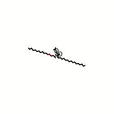 CCCCCCCCCCCCCCCCN(CCCCCCCCCCCCCCCC)C(=O)COC(C)C